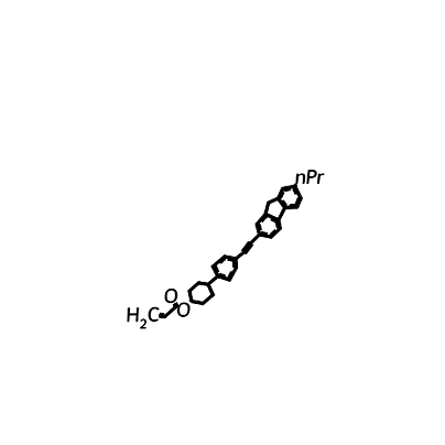 C=CC(=O)OC1CCC(c2ccc(C#Cc3ccc4c(c3)Cc3cc(CCC)ccc3-4)cc2)CC1